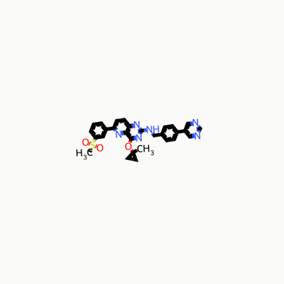 CC1(Oc2nc(NCc3ccc(-c4cncnc4)cc3)nc3ccc(-c4cccc(S(C)(=O)=O)c4)nc23)CC1